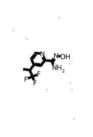 CC(c1ccnc(C(N)=NO)c1)C(F)(F)F